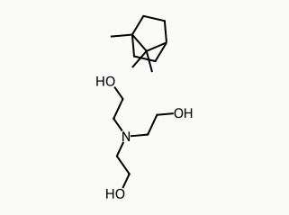 CC12CCC(CC1)C2(C)C.OCCN(CCO)CCO